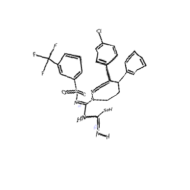 [H]/N=C(\[SeH])N/C(=N/S(=O)(=O)c1cccc(C(F)(F)F)c1)N1CCC(c2ccccc2)C(c2ccc(Cl)cc2)=N1